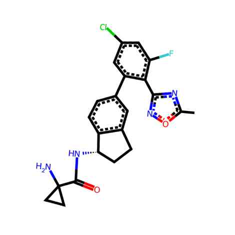 Cc1nc(-c2c(F)cc(Cl)cc2-c2ccc3c(c2)CC[C@@H]3NC(=O)C2(N)CC2)no1